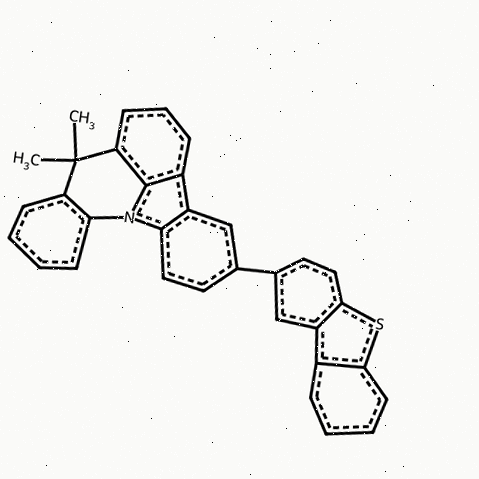 CC1(C)c2ccccc2-n2c3ccc(-c4ccc5sc6ccccc6c5c4)cc3c3cccc1c32